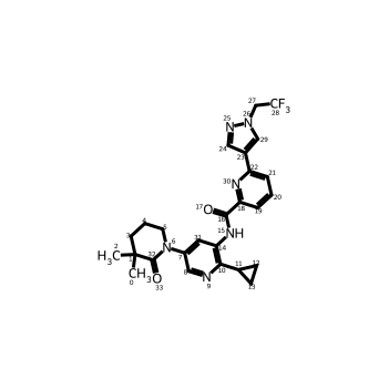 CC1(C)CCCN(c2cnc(C3CC3)c(NC(=O)c3cccc(-c4cnn(CC(F)(F)F)c4)n3)c2)C1=O